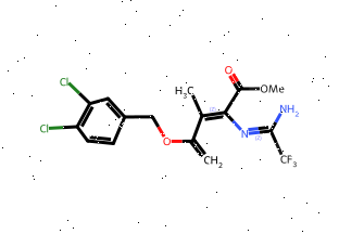 C=C(OCc1ccc(Cl)c(Cl)c1)/C(C)=C(\N=C(/N)C(F)(F)F)C(=O)OC